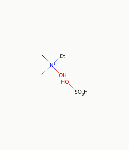 CC[N+](C)(C)O.O=S(=O)(O)O